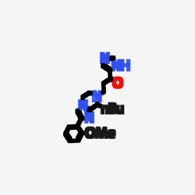 CCCCC1c2nc(-c3ccccc3OC)cn2CCN1CCC(=O)c1cnc[nH]1